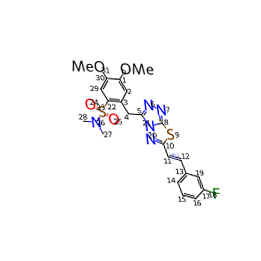 COc1cc(Cc2nnc3sc(/C=C/c4cccc(F)c4)nn23)c(S(=O)(=O)N(C)C)cc1OC